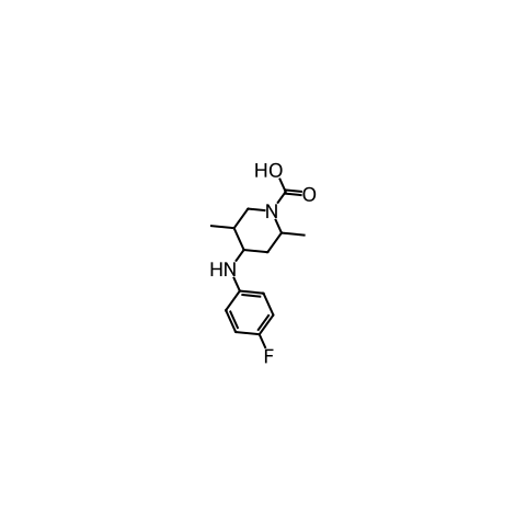 CC1CN(C(=O)O)C(C)CC1Nc1ccc(F)cc1